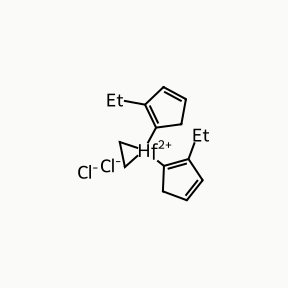 CCC1=[C]([Hf+2]2([C]3=C(CC)C=CC3)[CH2][CH2]2)CC=C1.[Cl-].[Cl-]